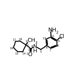 CC1(C(=O)NCc2ccc(Cl)c(N)c2)CCCCC1